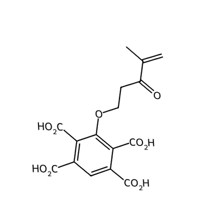 C=C(C)C(=O)CCOc1c(C(=O)O)c(C(=O)O)cc(C(=O)O)c1C(=O)O